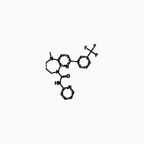 CN1CCCN(C(=O)Nc2ccccn2)c2nc(-c3cccc(C(F)(F)F)c3)ccc21